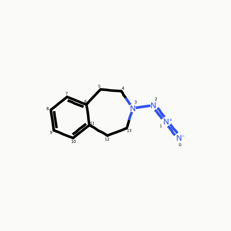 [N-]=[N+]=NN1CCc2ccccc2CC1